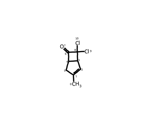 CC1=CC2C(C1)C(=O)C2(Cl)Cl